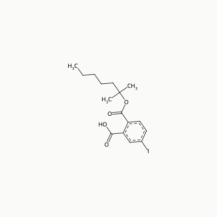 CCCCCC(C)(C)OC(=O)c1ccc(I)cc1C(=O)O